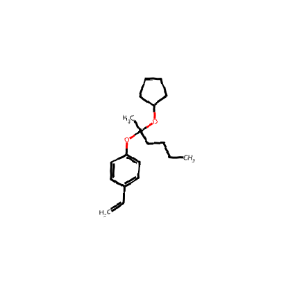 C=Cc1ccc(OC(C)(CCCC)OC2CCCC2)cc1